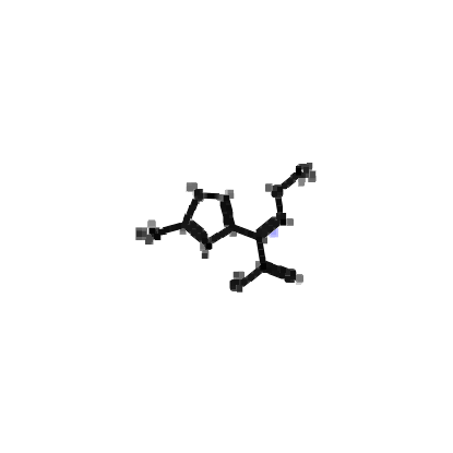 Nc1nc(/C(=N\OC(F)(F)F)C(=O)Cl)cs1